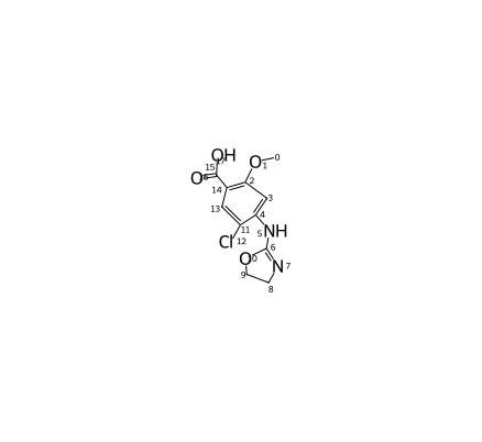 COc1cc(NC2=NCCO2)c(Cl)cc1C(=O)O